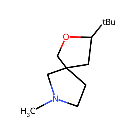 CN1CCC2(COC(C(C)(C)C)C2)C1